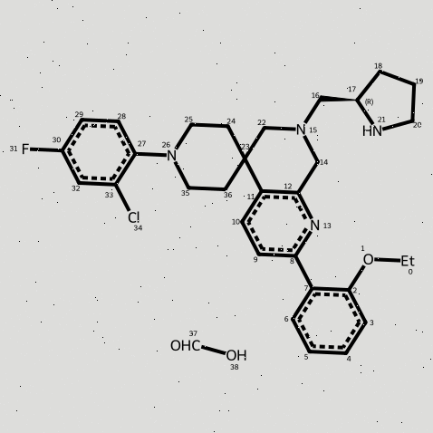 CCOc1ccccc1-c1ccc2c(n1)CN(C[C@H]1CCCN1)CC21CCN(c2ccc(F)cc2Cl)CC1.O=CO